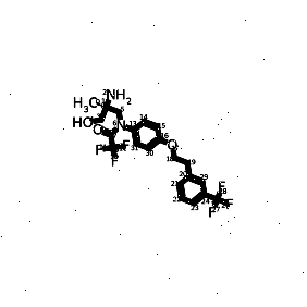 C[C@@](N)(CO)CN(C(=O)C(F)(F)F)c1ccc(OCCc2cccc(C(F)(F)F)c2)cc1